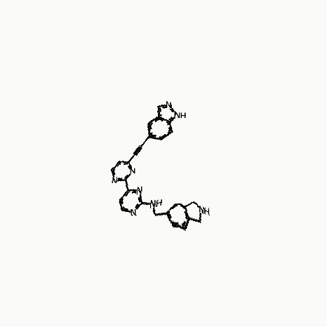 C(#Cc1ccnc(-c2ccnc(NCc3ccc4c(c3)CNC4)n2)n1)c1ccc2[nH]ncc2c1